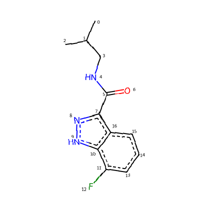 CC(C)CNC(=O)c1n[nH]c2c(F)cccc12